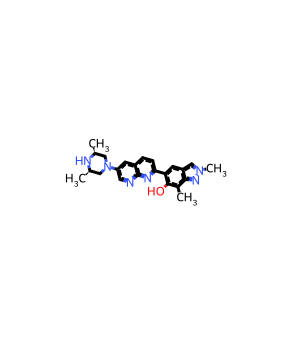 Cc1c(O)c(-c2ccc3cc(N4C[C@@H](C)N[C@@H](C)C4)cnc3n2)cc2cn(C)nc12